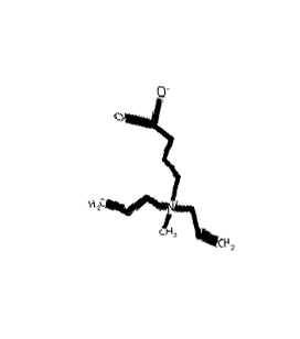 C=CC[N+](C)(CC=C)CCCC(=O)[O-]